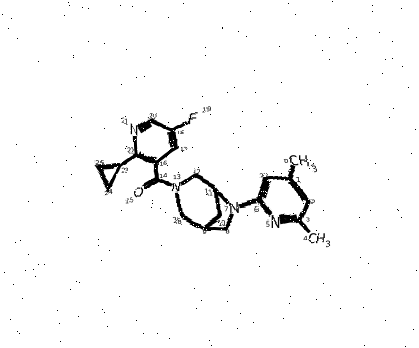 Cc1cc(C)nc(N2CC3CC2CN(C(=O)c2cc(F)cnc2C2CC2)C3)c1